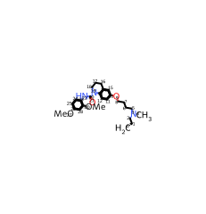 C=CCN(C)CCCCOc1ccc2c(c1)CCCN2C(=O)Nc1ccc(OC)cc1OC